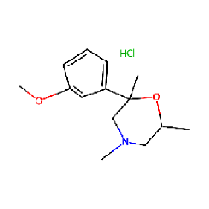 COc1cccc(C2(C)CN(C)CC(C)O2)c1.Cl